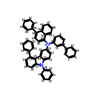 c1ccc(-c2cccc(N(c3ccc4c(c3)c3c(-c5ccccc5)cccc3n4-c3ccccc3)c3ccc(-c4ccccc4)c4ccccc34)c2)cc1